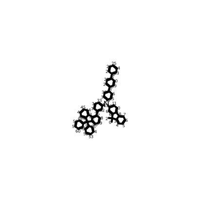 CC1(C)c2ccccc2-c2ccc(N(c3ccc(-c4ccc(-c5ccccc5)cc4)cc3)c3cccc(-c4cccc5c4-c4ccccc4C5(c4ccccc4)c4ccccc4)c3)cc21